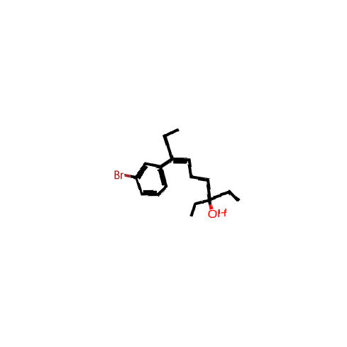 CC/C(=C/CCC(O)(CC)CC)c1cccc(Br)c1